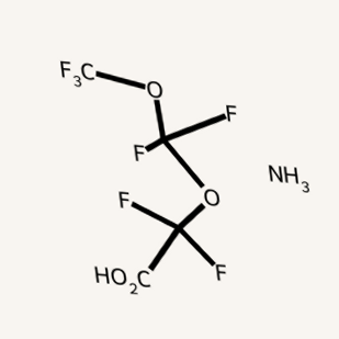 N.O=C(O)C(F)(F)OC(F)(F)OC(F)(F)F